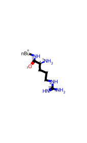 CCCCNC(=O)[C@@H](N)CCCNC(=N)N